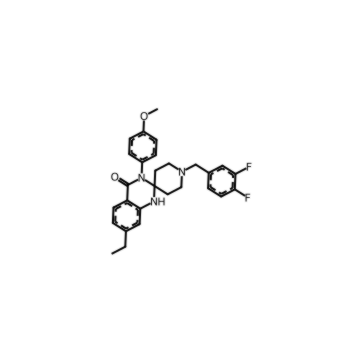 CCc1ccc2c(c1)NC1(CCN(Cc3ccc(F)c(F)c3)CC1)N(c1ccc(OC)cc1)C2=O